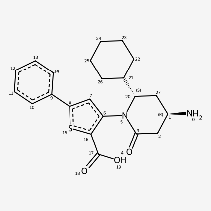 N[C@H]1CC(=O)N(c2cc(-c3ccccc3)sc2C(=O)O)[C@H](C2CCCCC2)C1